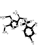 CCn1c(OC)nnc1[C@@H](C)NS(=O)(=O)c1ccc(Br)cc1Br